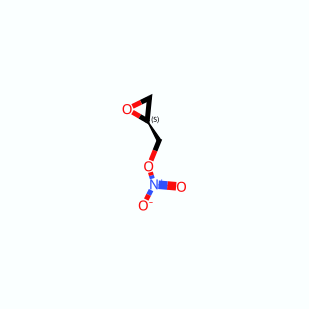 O=[N+]([O-])OC[C@@H]1CO1